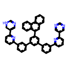 C1=NC=C(c2cccc(-c3cccc(-c4cc(-c5cccc(-c6cccc(-c7cncnc7)n6)c5)cc(-c5cc6ccccc6c6ccccc56)c4)c3)n2)CN1